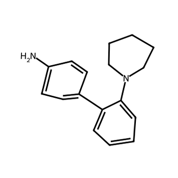 Nc1ccc(-c2ccccc2N2CCCCC2)cc1